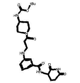 CC(C)(C)OC(=O)NC1CCN(C(=O)CCNc2cccc(C(=O)NC3CCC(=O)NC3=O)c2)CC1